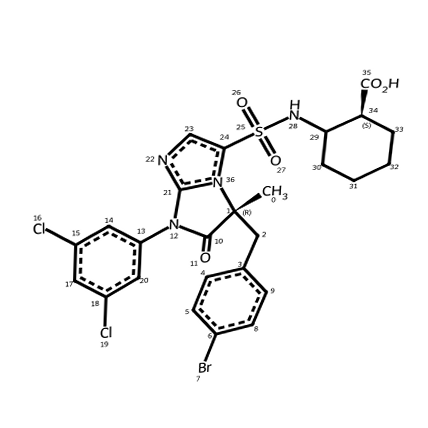 C[C@@]1(Cc2ccc(Br)cc2)C(=O)N(c2cc(Cl)cc(Cl)c2)c2ncc(S(=O)(=O)NC3CCCC[C@@H]3C(=O)O)n21